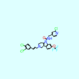 O=C(NCc1ccnc(Cl)c1)n1c2c(c3ccc(OC(F)(F)F)cc31)CN(C/C=C/c1ccc(Cl)c(Cl)c1)CC2